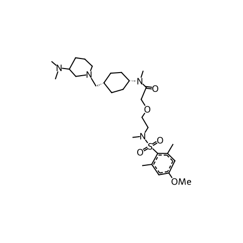 COc1cc(C)c(S(=O)(=O)N(C)CCOCC(=O)N(C)[C@H]2CC[C@@H](CN3CCCC(N(C)C)C3)CC2)c(C)c1